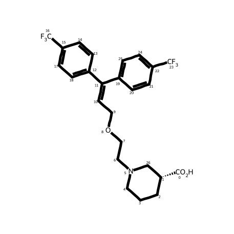 O=C(O)[C@@H]1CCCN(CCOCC=C(c2ccc(C(F)(F)F)cc2)c2ccc(C(F)(F)F)cc2)C1